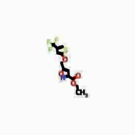 CCOC(=O)c1cc(COc2cc(C(F)(F)F)cs2)on1